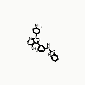 Nc1ncnc2c1c(-c1cccc(Nc3nc4ccccc4o3)c1)nn2C1CCC(N)CC1